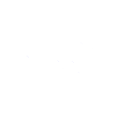 NC(=O)c1ccc(NC(=O)c2cncc(-c3cccnc3)n2)cc1